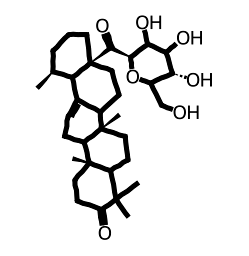 C[C@H]1CCC[C@]2(C(=O)[C@@H]3OC(CO)[C@@H](O)C(O)C3O)CCC3C(=CCC4[C@@]3(C)CCC3C(C)(C)C(=O)CC[C@@]34C)C12